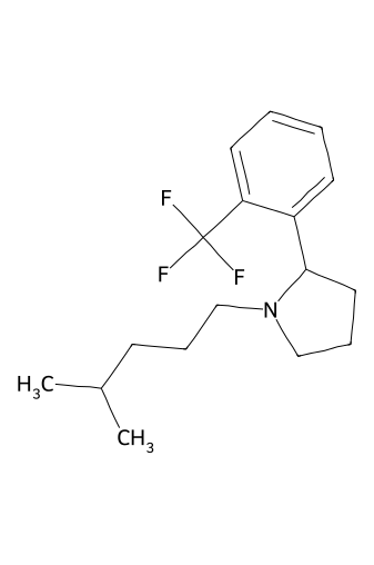 CC(C)CCCN1CCCC1c1ccccc1C(F)(F)F